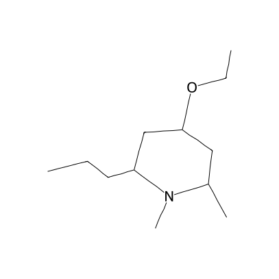 CCCC1CC(OCC)CC(C)N1C